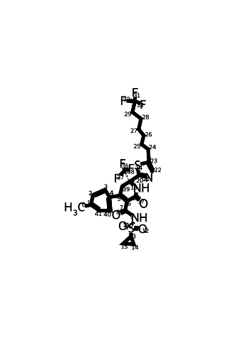 Cc1ccc(C2=C(C(=O)NS(=O)(=O)C3CC3)C(=O)N[C@@](c3ncc(CCCCCCC(F)(F)F)s3)(C(F)(F)F)C2)cc1